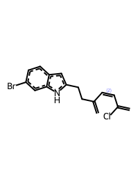 C=C(Cl)/C=C\C(=C)CCc1cc2ccc(Br)cc2[nH]1